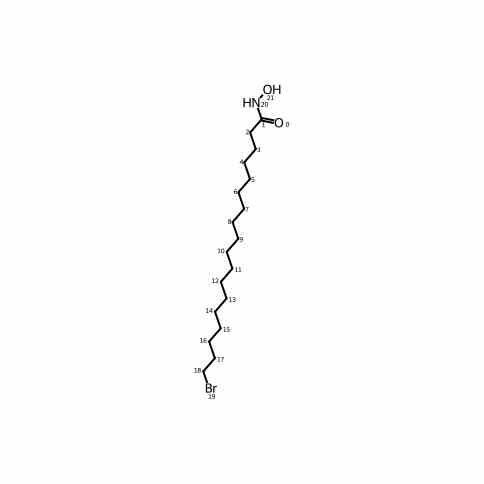 O=C(CCCCCCCCCCCCCCCCCBr)NO